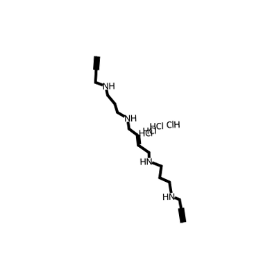 C#CCNCCCNCC=CCNCCCNCC#C.Cl.Cl.Cl.Cl